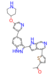 CC(=O)c1ccc(-c2cncc3[nH]c(-c4n[nH]c5ccc(-c6cncc(OC7CCNCC7)c6)cc45)cc23)s1